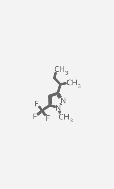 CCC(C)c1cc(C(F)(F)F)n(C)n1